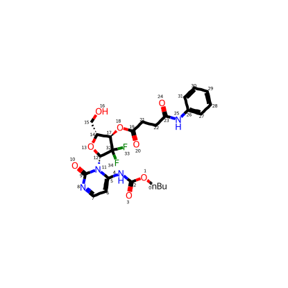 CCCCOC(=O)Nc1ccnc(=O)n1[C@@H]1O[C@H](CO)[C@@H](OC(=O)CCC(=O)Nc2ccccc2)C1(F)F